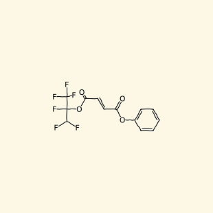 O=C(C=CC(=O)OC(F)(C(F)F)C(F)(F)F)Oc1ccccc1